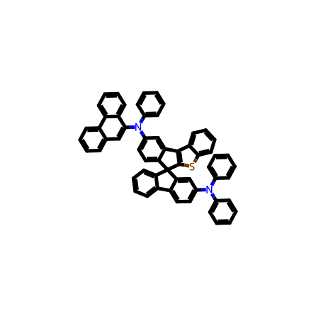 c1ccc(N(c2ccccc2)c2ccc3c(c2)C2(c4ccccc4-3)c3ccc(N(c4ccccc4)c4cc5ccccc5c5ccccc45)cc3-c3c2sc2ccccc32)cc1